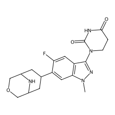 Cn1nc(N2CCC(=O)NC2=O)c2cc(F)c(C3CC4COCC(C3)N4)cc21